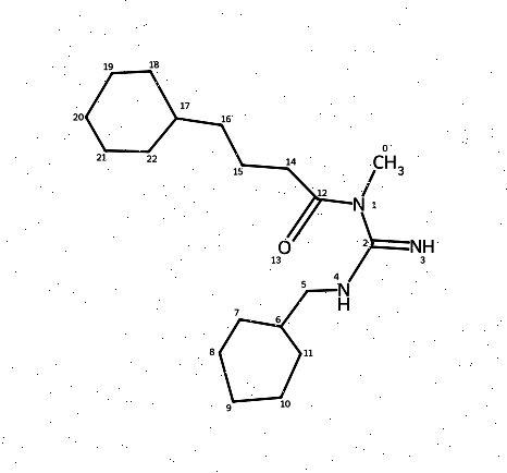 CN(C(=N)NCC1CCCCC1)C(=O)CCCC1CCCCC1